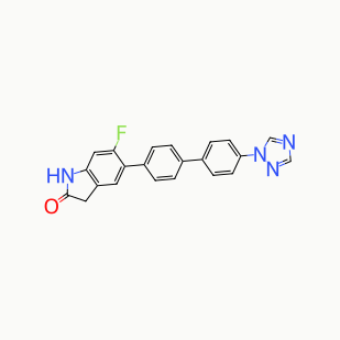 O=C1Cc2cc(-c3ccc(-c4ccc(-n5cncn5)cc4)cc3)c(F)cc2N1